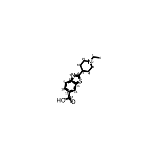 CCN1CCC(c2nc3ccc(C(=O)O)cc3s2)CC1